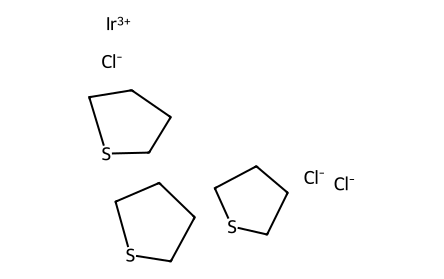 C1CCSC1.C1CCSC1.C1CCSC1.[Cl-].[Cl-].[Cl-].[Ir+3]